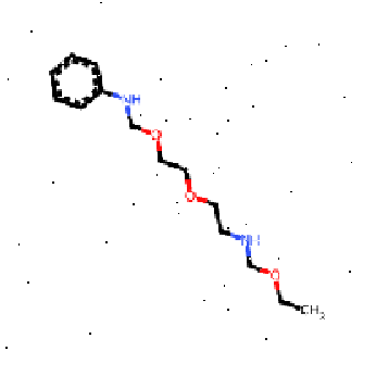 CCOCNCCOCCOCNc1ccccc1